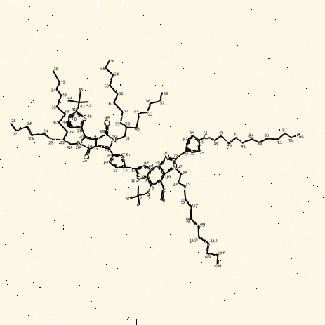 C=Cc1c(SC(C)(C)C)c2sc(-c3ccc(C4=C5C(=O)N(CC(CCCCCC)CCCCCCCC)C(c6ccc(C(C)(C)C)s6)=C5C(=O)N4CC(CCCCCC)CCCCCCCC)s3)cc2c2nc(-c3ccc(OCCCCCCCCCCCC)cc3)n(CCCCCCCCCCCC)c12